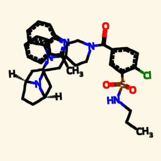 CCCNS(=O)(=O)c1cc(C(=O)N2CCC(CCN3[C@@H]4CC[C@H]3C[C@@H](n3c(C)nc5ccccc53)C4)(c3ccccc3)CC2)ccc1Cl